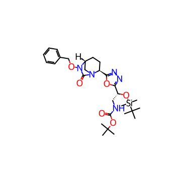 CC(C)(C)OC(=O)NC[C@@H](O[Si](C)(C)C(C)(C)C)c1nnc([C@@H]2CC[C@@H]3CN2C(=O)N3OCc2ccccc2)o1